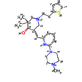 CN1CCN(c2cccc(C=C3CN(CCc4cccs4)CC(C)(C)C3=O)n2)CC1